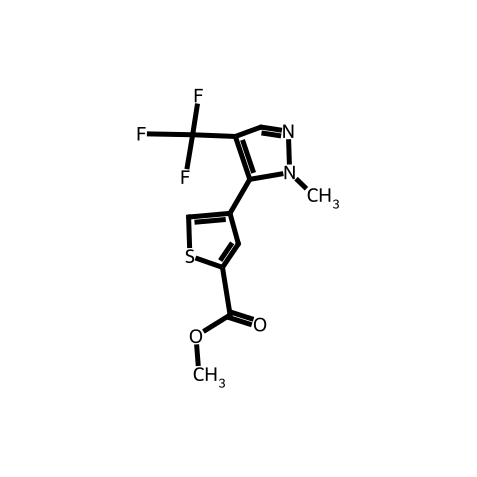 COC(=O)c1cc(-c2c(C(F)(F)F)cnn2C)cs1